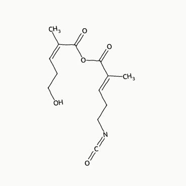 CC(=CCCO)C(=O)OC(=O)C(C)=CCCN=C=O